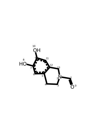 O=CN1CCc2cc(O)c(O)cc2C1